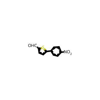 O=Cc1ccc(-c2ccc([N+](=O)[O-])cc2)s1